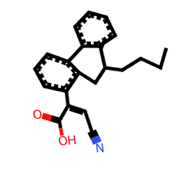 CCCCC(CC)Cc1c(C(=CC#N)C(=O)O)cccc1-c1ccccc1